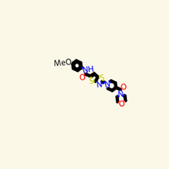 COc1ccc(NC(=O)C2=CC3SC(N4CCC(C(=O)N5CCOCC5)CC4)=NC3S2)cc1